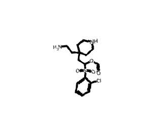 NCCC1(CC(OC=O)S(=O)(=O)c2ccccc2Cl)CCNCC1